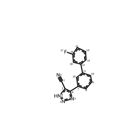 N#Cc1[nH]nnc1-c1cccc(-c2cccc(F)c2)c1